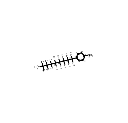 CC(F)(F)C(F)(F)C(F)(F)C(F)(F)C(F)(F)C(F)(F)C(F)(F)C(F)(F)c1ccc(N)cc1